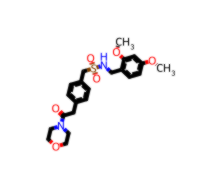 COc1ccc(CNS(=O)(=O)Cc2ccc(CC(=O)N3CCOCC3)cc2)c(OC)c1